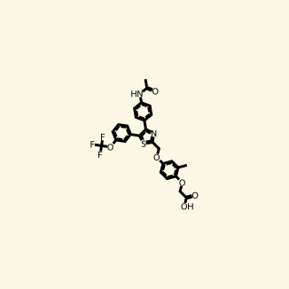 CC(=O)Nc1ccc(-c2nc(COc3ccc(OCC(=O)O)c(C)c3)sc2-c2cccc(OC(F)(F)F)c2)cc1